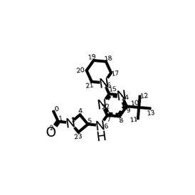 CC(=O)N1CC(Nc2cc(C(C)(C)C)nc(N3CCCCC3)n2)C1